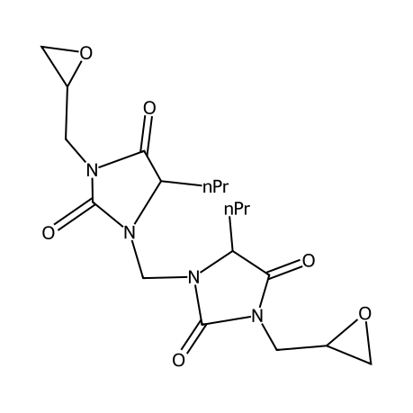 CCCC1C(=O)N(CC2CO2)C(=O)N1CN1C(=O)N(CC2CO2)C(=O)C1CCC